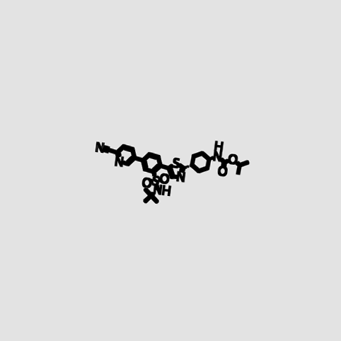 CC(C)OC(=O)N[C@H]1CC[C@H](c2ncc(-c3ccc(-c4ccc(C#N)nc4)cc3S(=O)(=O)NC(C)(C)C)s2)CC1